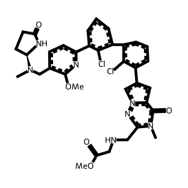 COC(=O)CNCc1nn2cc(-c3cccc(-c4cccc(-c5ccc(CN(C)[C@H]6CCC(=O)N6)c(OC)n5)c4Cl)c3Cl)cc2c(=O)n1C